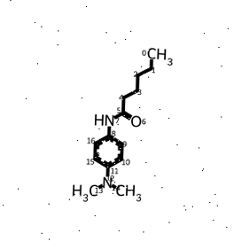 CCCCCC(=O)Nc1ccc(N(C)C)cc1